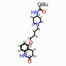 CC(C)COC(=O)NC1CCN(CCCCOc2cccc3c2CCC(=O)N3)CC1